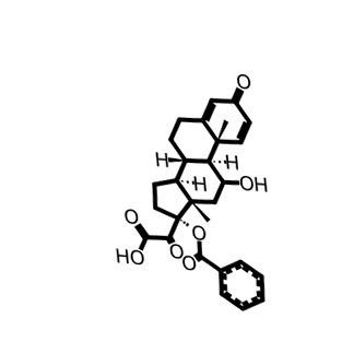 C[C@]12C=CC(=O)C=C1CC[C@@H]1[C@@H]2C(O)C[C@@]2(C)[C@H]1CC[C@]2(OC(=O)c1ccccc1)C(=O)C(=O)O